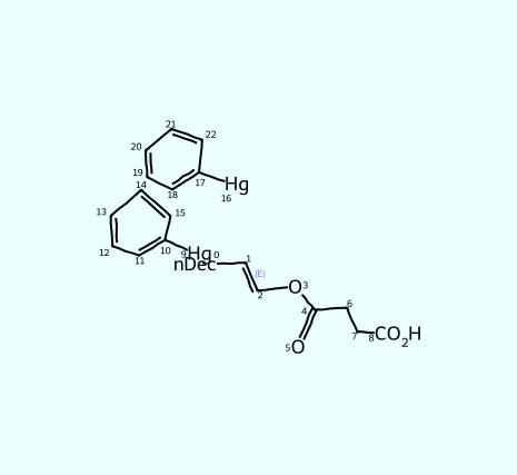 CCCCCCCCCC/C=C/OC(=O)CCC(=O)O.[Hg][c]1ccccc1.[Hg][c]1ccccc1